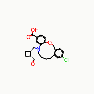 O=C[C@@H]1CC[C@H]1CN1CCCCc2cc(Cl)ccc2COc2ccc(C(=O)O)cc21